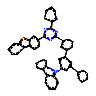 c1ccc(-c2cc(-c3cccc(-c4nc(-c5ccccc5)nc(-c5ccc6c(c5)sc5ccccc56)n4)c3)cc(-n3c4ccccc4c4ccccc43)c2)cc1